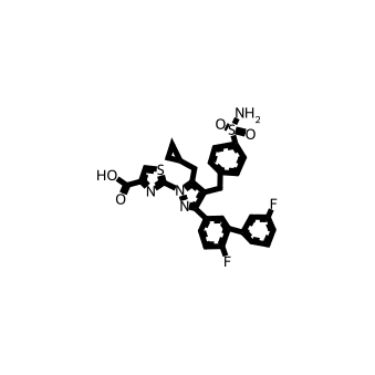 NS(=O)(=O)c1ccc(Cc2c(-c3ccc(F)c(-c4cccc(F)c4)c3)nn(-c3nc(C(=O)O)cs3)c2CC2CC2)cc1